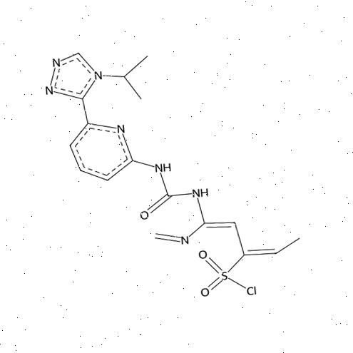 C=N/C(=C\C(=C/C)S(=O)(=O)Cl)NC(=O)Nc1cccc(-c2nncn2C(C)C)n1